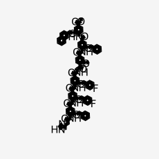 COC(=O)c1ccc(NC(=O)c2ccc(NC(=O)c3ccc(C(=O)CNC(=O)c4ccc(NC(=O)c5ccc(NC(=O)c6ccc(NC(=O)Cc7c[nH]cn7)c(OCc7ccccc7)c6)c(OCc6ccc(F)cc6)c5)c(OCc5ccc(F)cc5)c4)c(OC)c3)c(OCc3ccccc3)c2)c(OCc2ccc3ccccc3c2)c1